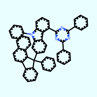 c1ccc(-c2nc(-c3ccccc3)nc(-c3cccc4c3c3ccc(C5(c6ccccc6)c6ccccc6-c6ccc7ccccc7c65)cc3n4-c3ccccc3)n2)cc1